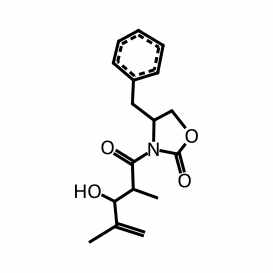 C=C(C)C(O)C(C)C(=O)N1C(=O)OCC1Cc1ccccc1